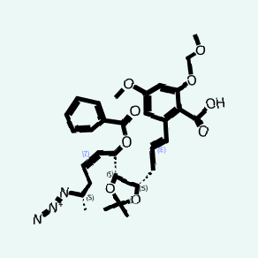 COCOc1cc(OC)cc(/C=C/C[C@@H]2OC(C)(C)O[C@@H]2C(/C=C\C[C@H](C)N=[N+]=[N-])OC(=O)c2ccccc2)c1C(=O)O